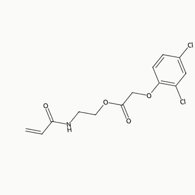 C=CC(=O)NCCOC(=O)COc1ccc(Cl)cc1Cl